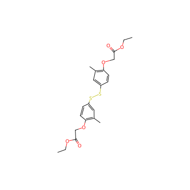 CCOC(=O)COc1ccc(SSc2ccc(OCC(=O)OCC)c(C)c2)cc1C